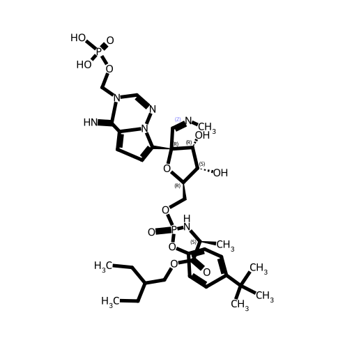 CCC(CC)COC(=O)[C@H](C)NP(=O)(OC[C@H]1O[C@@](/C=N\C)(c2ccc3c(=N)n(COP(=O)(O)O)cnn23)[C@H](O)[C@@H]1O)Oc1ccc(C(C)(C)C)cc1